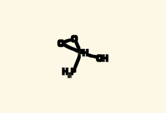 O[PH]1(P)OO1